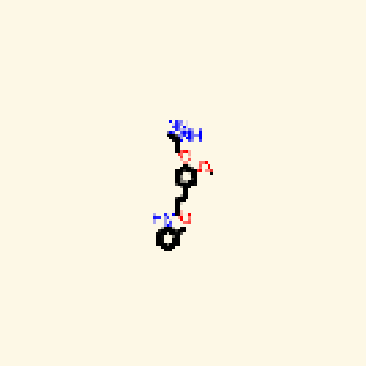 COc1cc(/C=C/C(=O)Nc2ccccc2C)ccc1OCc1cnn[nH]1